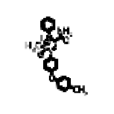 Cc1ccc(Oc2ccc(N(C[C@H](Nc3ccccc3)C(N)=O)S(C)(=O)=O)cc2)cc1